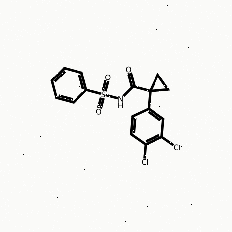 O=C(NS(=O)(=O)c1ccccc1)C1(c2ccc(Cl)c(Cl)c2)CC1